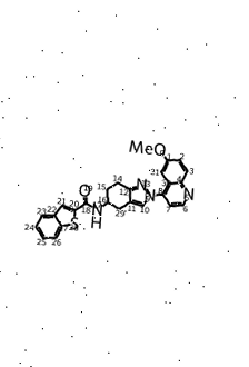 COc1ccc2nccc(-n3cc4c(n3)CCC(NC(=O)c3cc5ccccc5s3)C4)c2c1